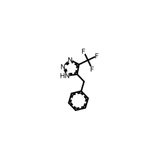 FC(F)(F)c1nn[nH]c1Cc1ccccc1